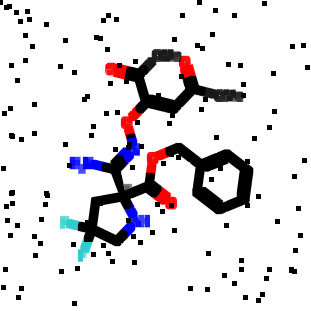 COC(=O)C=C(ON=C(N)[C@]1(C(=O)OCc2ccccc2)CC(F)(F)CN1)C(=O)OC